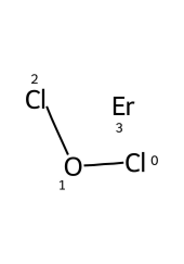 ClOCl.[Er]